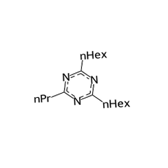 [CH2]CCc1nc(CCCCCC)nc(CCCCCC)n1